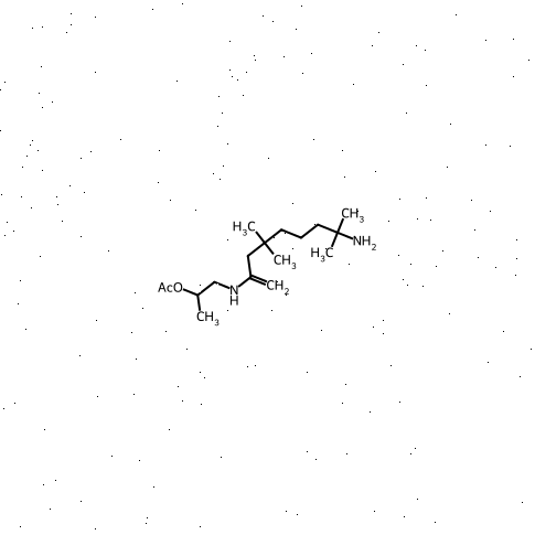 C=C(CC(C)(C)CCCC(C)(C)N)NCC(C)OC(C)=O